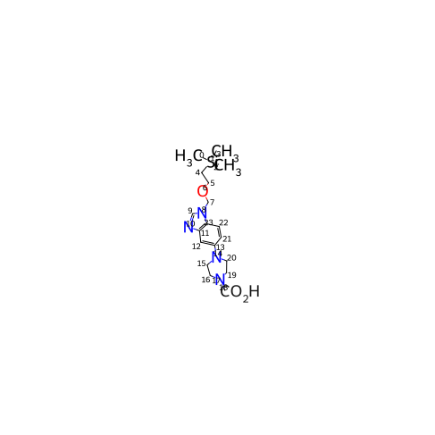 C[Si](C)(C)CCOCn1cnc2cc(N3CCN(C(=O)O)CC3)ccc21